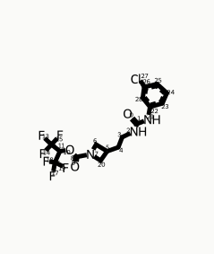 O=C(NCCC1CN(C(=O)OC(C(F)(F)F)C(F)(F)F)C1)Nc1cccc(Cl)c1